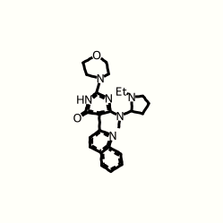 CCN1CCCC1N(C)c1nc(N2CCOCC2)[nH]c(=O)c1-c1ccc2ccccc2n1